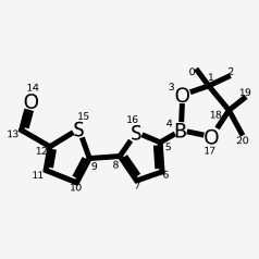 CC1(C)OB(c2ccc(-c3ccc(C=O)s3)s2)OC1(C)C